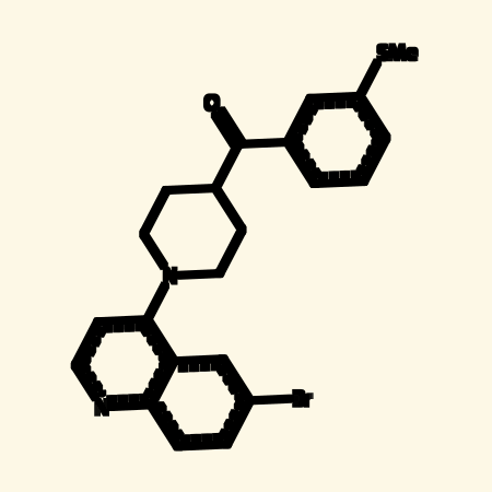 CSc1cccc(C(=O)C2CCN(c3ccnc4ccc(Br)cc34)CC2)c1